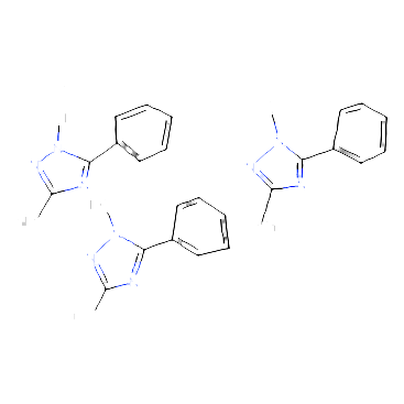 CCCc1nc(-c2ccccc2)n(C)n1.CCCc1nc(-c2ccccc2)n(C)n1.CCCc1nc(-c2ccccc2)n(C)n1.[Ir]